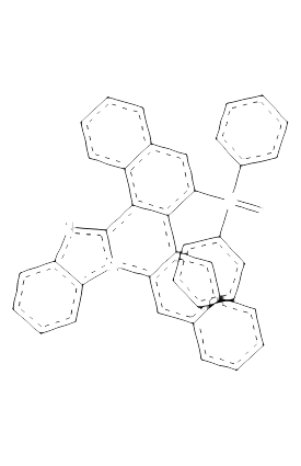 S=P(c1ccccc1)(c1ccccc1)c1cc2ccccc2c2c1c1cc3ccccc3cc1n1c3ccccc3nc21